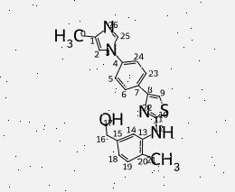 Cc1cn(-c2ccc(-c3csc(Nc4cc(CO)ccc4C)n3)cc2)cn1